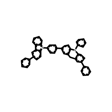 c1ccc(-c2ccc3c(c2)Cc2cc(-c4ccc(-n5c6ccccc6c6cc(-c7ccccc7)ccc65)cc4)ccc2N3c2ccccc2)cc1